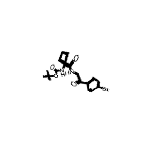 CC(C)(C)OC(=O)NC1(C(=O)NCC(=O)c2ccc(Br)cc2)CCC1